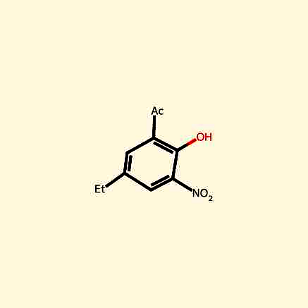 CCc1cc(C(C)=O)c(O)c([N+](=O)[O-])c1